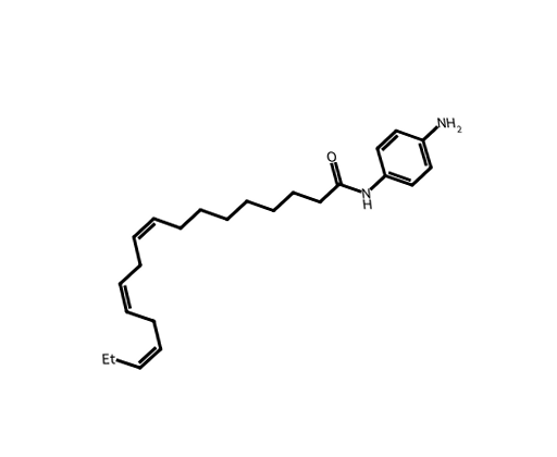 CC/C=C\C/C=C\C/C=C\CCCCCCCC(=O)Nc1ccc(N)cc1